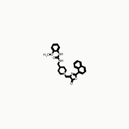 COc1ccccc1NC(=O)NCC1CCN(C=C2N=C(c3cccc4ccccc34)OC2=O)CC1